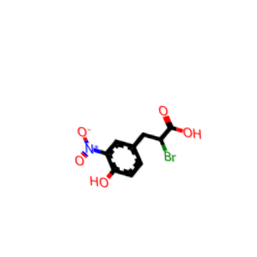 O=C(O)C(Br)Cc1ccc(O)c([N+](=O)[O-])c1